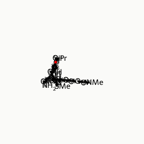 CNCCOCCOCCOCCOCCC(=O)N[C@@H](CCSC)C(=O)N[C@@H](CCCNC(N)=O)C(=O)Nc1ccc(COC(=O)C(C)C)cc1